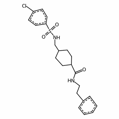 O=C(NCCc1ccccc1)C1CCC(CNS(=O)(=O)c2ccc(Cl)cc2)CC1